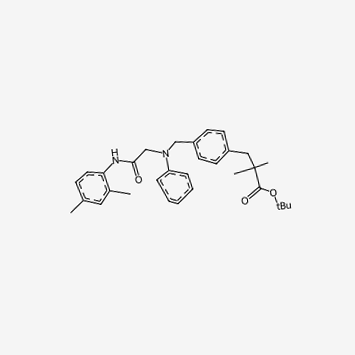 Cc1ccc(NC(=O)CN(Cc2ccc(CC(C)(C)C(=O)OC(C)(C)C)cc2)c2ccccc2)c(C)c1